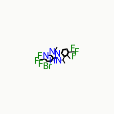 Cc1nc(NC(C)c2cccc(C(F)(F)F)c2C)c2cc(Br)c(C(F)(F)F)nc2n1